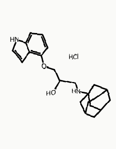 Cl.OC(CNC12CC3CC(CC(C3)C1)C2)COc1cccc2[nH]ccc12